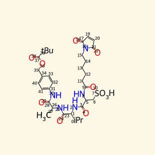 CC(C)C(NC(=O)C(CS(=O)(=O)O)NC(=O)CCCCCN1C(=O)C=CC1=O)C(=O)N[C@@H](C)C(=O)Nc1ccc(COC(=O)C(C)(C)C)cc1